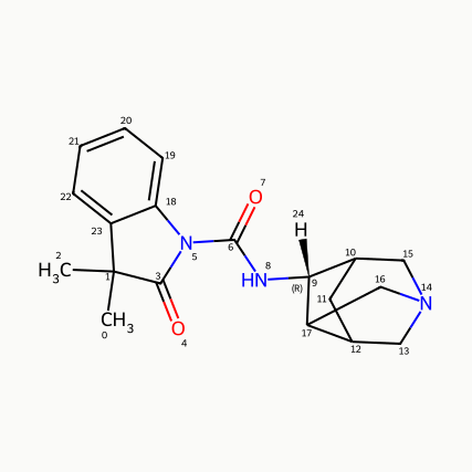 CC1(C)C(=O)N(C(=O)N[C@@H]2C3CC4CN(C3)CC42)c2ccccc21